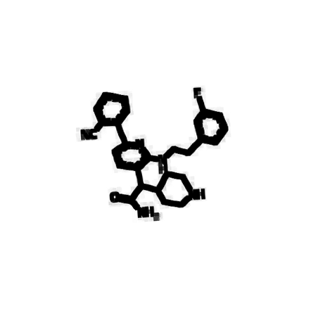 N#Cc1ccccc1-c1ccc(C(C(N)=O)C2CCNCC2)c(NCCc2cccc(F)c2)n1